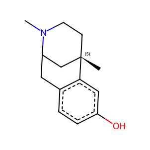 CN1CC[C@@]2(C)CC1Cc1ccc(O)cc12